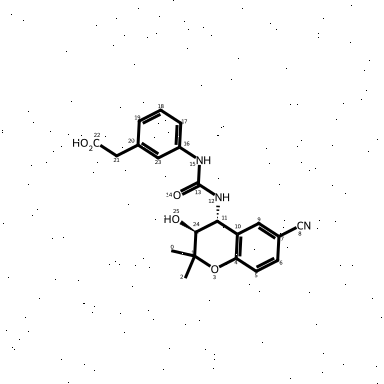 CC1(C)Oc2ccc(C#N)cc2[C@@H](NC(=O)Nc2cccc(CC(=O)O)c2)[C@@H]1O